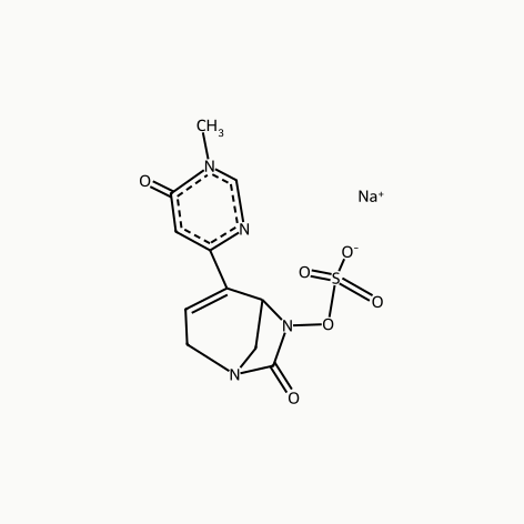 Cn1cnc(C2=CCN3CC2N(OS(=O)(=O)[O-])C3=O)cc1=O.[Na+]